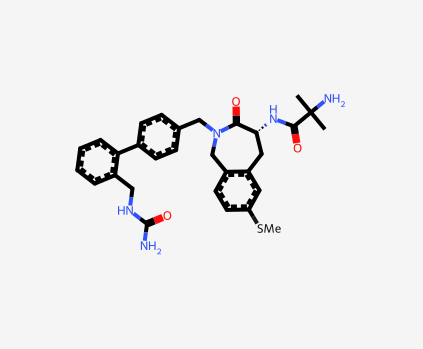 CSc1ccc2c(c1)C[C@@H](NC(=O)C(C)(C)N)C(=O)N(Cc1ccc(-c3ccccc3CNC(N)=O)cc1)C2